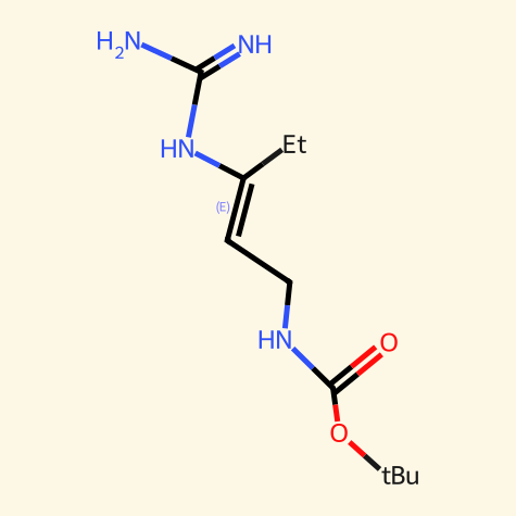 CC/C(=C\CNC(=O)OC(C)(C)C)NC(=N)N